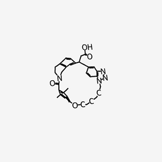 Cc1cc2cc(C)c1C(=O)N1CCc3ccc(cc3C1)C(CC(=O)O)c1ccc3c(c1)nnn3CCCCCCO2